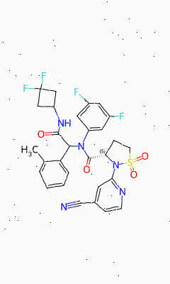 Cc1ccccc1C(C(=O)NC1CC(F)(F)C1)N(C(=O)[C@@H]1CCS(=O)(=O)N1c1cc(C#N)ccn1)c1cc(F)cc(F)c1